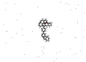 c1ccc2cc(N(c3ccc(-c4ccc5sc6ccccc6c5c4)cc3)c3cccc4ccc5ccccc5c34)ccc2c1